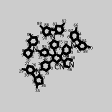 Cc1ccc2c(c1)c1ccccc1n2-c1ccc(-c2c(-c3ccc(-n4c5ccc(C)cc5c5cc(C)ccc54)cc3)c(C#N)c(-c3ccncc3)c(-c3ccc(-n4c5ccc(C)cc5c5cc(C)ccc54)cc3)c2-c2ccc(-n3c4ccc(C)cc4c4cc(C)ccc43)cc2)cc1